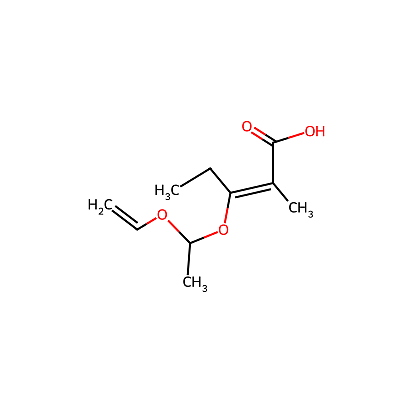 C=COC(C)O/C(CC)=C(\C)C(=O)O